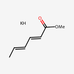 C/C=C/C=C/C(=O)OC.[KH]